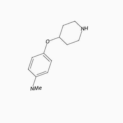 CNc1ccc(OC2CCNCC2)cc1